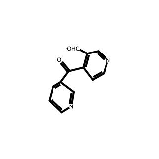 O=[C]c1cnccc1C(=O)c1cccnc1